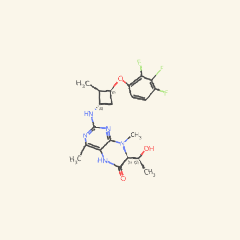 Cc1nc(N[C@H]2C[C@H](Oc3ccc(F)c(F)c3F)C2C)nc2c1NC(=O)[C@H]([C@H](C)O)N2C